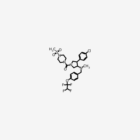 CN(Cc1ccc(OC(F)(F)C(F)F)cc1)C1CN(C(=O)N2CCN(S(C)(=O)=O)CC2)CC1c1ccc(Cl)cc1